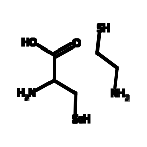 NC(C[SeH])C(=O)O.NCCS